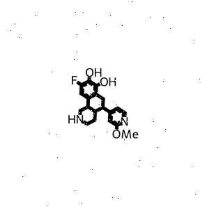 COc1cc(C2Cc3c(cc(F)c(O)c3O)C3CNCCC23)ccn1